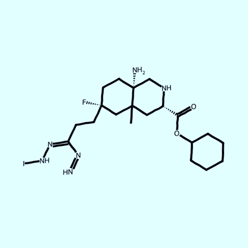 CC12C[C@@H](C(=O)OC3CCCCC3)NC[C@]1(N)CC[C@](F)(CC/C(N=N)=N/NI)C2